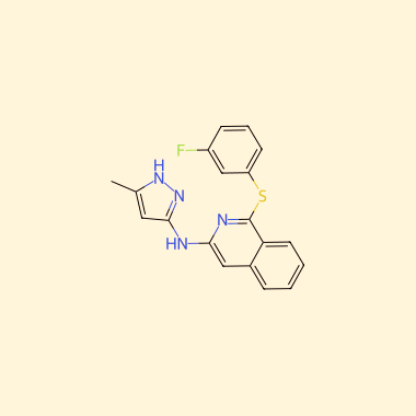 Cc1cc(Nc2cc3ccccc3c(Sc3cccc(F)c3)n2)n[nH]1